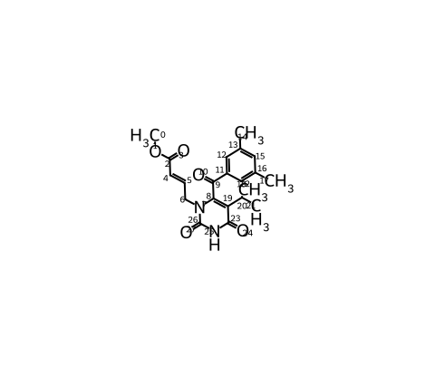 COC(=O)C=CCn1c(C(=O)c2cc(C)cc(C)c2)c(C(C)C)c(=O)[nH]c1=O